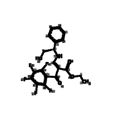 CCOC(=O)C(=CN[C@@H](CO)c1ccccc1)C(=O)c1c(F)c(F)c(F)c(F)c1F